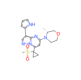 C[C@@H]1COCCN1c1cc(C2(S(C)(=O)=O)CC2)n2ncc(-c3ccc[nH]3)c2n1